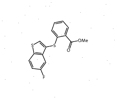 COC(=O)c1ccccc1Sc1csc2ccc(F)cc12